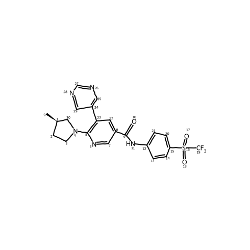 C[C@@H]1CCN(c2ncc(C(=O)Nc3ccc(S(=O)(=O)C(F)(F)F)cc3)cc2-c2cncnc2)C1